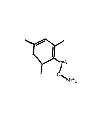 CC1=CC(C)=C(PON)C(C)C1